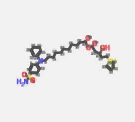 NS(=O)(=O)c1ccc(N(CCCCCCCCCCC(=O)OC(=O)CC(O)CC[SH]2C=CC=C2)c2ccccc2)cc1